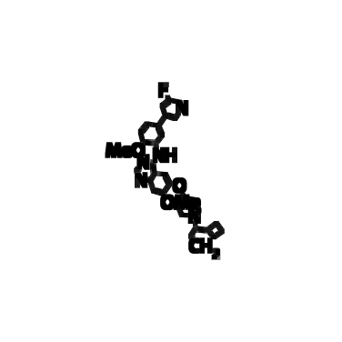 C=CC(=C1CCC1)N1CCC(Oc2cc3c(Nc4cc(-c5cncc(F)c5)ccc4OC)ncnc3cc2OC)CC1